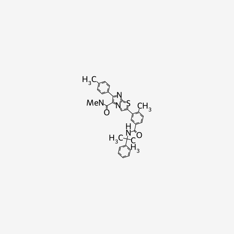 CNC(=O)c1c(-c2ccc(C)cc2)nc2sc(-c3cc(C(=O)NC(C)(C)c4ccccc4)ccc3C)cn12